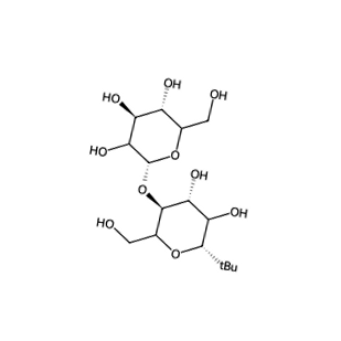 CC(C)(C)[C@@H]1OC(CO)[C@@H](O[C@H]2OC(CO)[C@@H](O)[C@H](O)C2O)[C@H](O)C1O